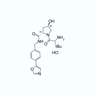 CC(C)(C)C(N)C(=O)N1C[C@H](O)C[C@H]1C(=O)NCc1ccc(-c2cnco2)cc1.Cl